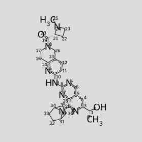 C[C@@H](O)c1cc2cnc(Nc3ccc4c(n3)CCN(C(=O)[C@H]3CCN3C)C4)nc2c(N2C3CCC2CC3)n1